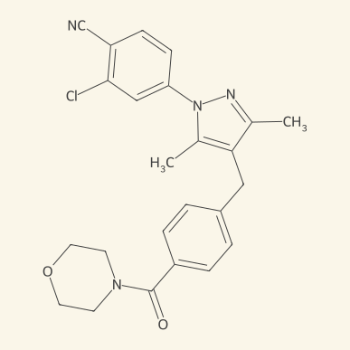 Cc1nn(-c2ccc(C#N)c(Cl)c2)c(C)c1Cc1ccc(C(=O)N2CCOCC2)cc1